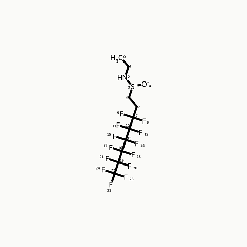 CCN[S+]([O-])CCC(F)(F)C(F)(F)C(F)(F)C(F)(F)C(F)(F)C(F)(F)F